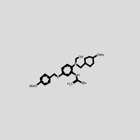 C=C(Nc1cc(SCc2ccc(OC)cc2)ccc1N(CO)CC1CCC(OC)CC1)C(C)(C)C